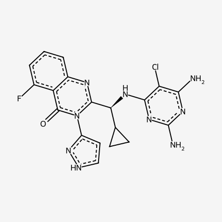 Nc1nc(N)c(Cl)c(N[C@H](c2nc3cccc(F)c3c(=O)n2-c2cc[nH]n2)C2CC2)n1